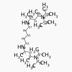 CC(CC(C)N(C(C)C)C(C)C)NCCCCCNC(C)CC(C)N(C(C)C)C(C)C